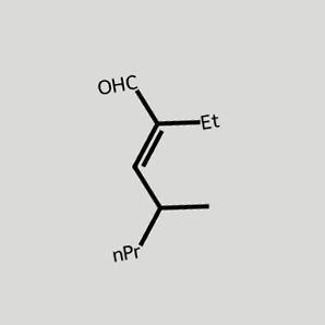 CCCC(C)/C=C(/C=O)CC